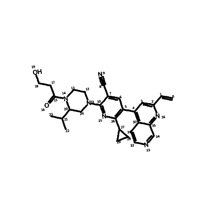 C=Cc1cc(-c2cc(C#N)c(N3CCN(C(=O)CCO)C(C(C)C)C3)nc2C2CC2)c2ccncc2n1